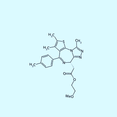 COCCOC(=O)C[C@@H]1N=C(c2ccc(C)cc2)c2c(sc(C)c2C)-n2c(C)nnc21